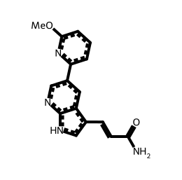 COc1cccc(-c2cnc3[nH]cc(/C=C/C(N)=O)c3c2)n1